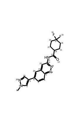 Cn1cc(-c2ccc3nnc(NC(=O)C4CCC(F)(F)CC4)cc3c2)cn1